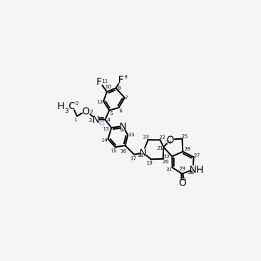 CCO/N=C(\c1ccc(F)c(F)c1)c1ccc(CN2CCC3(CC2)OCc2c[nH]c(=O)cc23)cn1